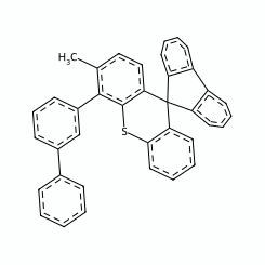 Cc1ccc2c(c1-c1cccc(-c3ccccc3)c1)Sc1ccccc1C21c2ccccc2-c2ccccc21